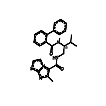 Cc1nc2sccn2c1C(=O)NC[C@H](C(C)C)N(C)C(=O)c1ccccc1-c1ccccc1